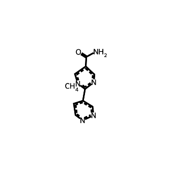 C.NC(=O)c1cnc(-c2ccnnc2)nc1